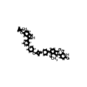 COc1c(C2CCN(C3CC(OC4CCN(c5cc(-c6[nH]nc7ccc(OC8(C)CC8)cc67)ncn5)CC4)C3)CC2)ccc2c1CN(C1CCC(=O)NC1=O)C2=O